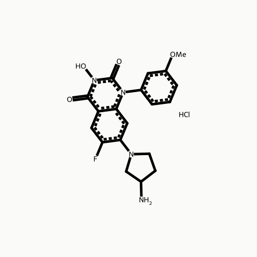 COc1cccc(-n2c(=O)n(O)c(=O)c3cc(F)c(N4CCC(N)C4)cc32)c1.Cl